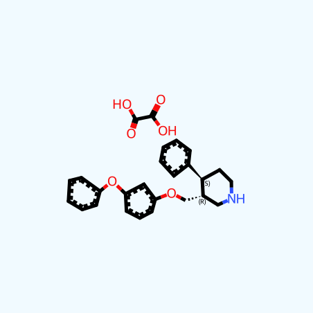 O=C(O)C(=O)O.c1ccc(Oc2cccc(OC[C@H]3CNCC[C@@H]3c3ccccc3)c2)cc1